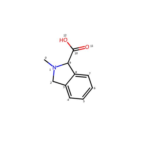 CN1Cc2ccccc2C1C(=O)O